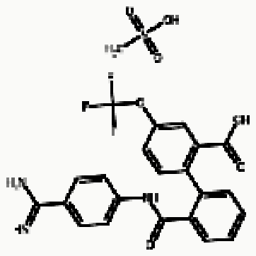 CS(=O)(=O)O.N=C(N)c1ccc(NC(=O)c2ccccc2-c2ccc(OC(F)(F)F)cc2C(=O)O)cc1